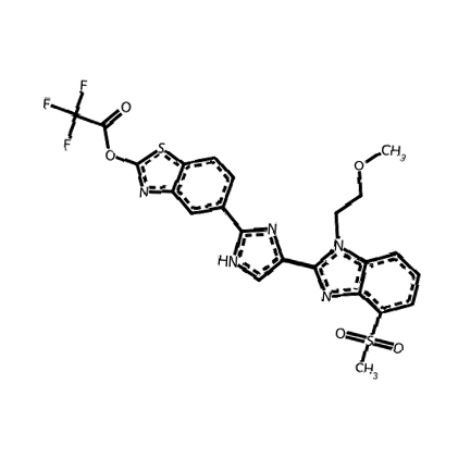 COCCn1c(-c2c[nH]c(-c3ccc4sc(OC(=O)C(F)(F)F)nc4c3)n2)nc2c(S(C)(=O)=O)cccc21